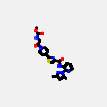 COC(=O)NCC(=O)N1CCC(c2nc(C(=O)Nc3cccnc3-n3nc(C)cc3C)cs2)CC1